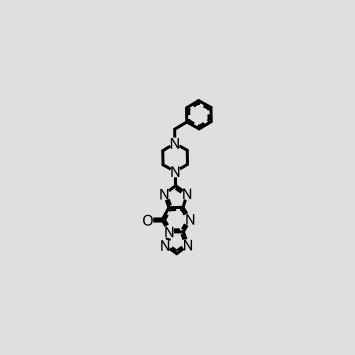 O=c1c2c(nc3ncnn13)N=C(N1CCN(Cc3ccccc3)CC1)N=2